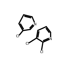 Clc1cccnc1.Clc1cccnc1Cl